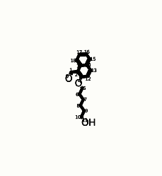 O=Cc1c(OCCCCCCO)ccc2ccccc12